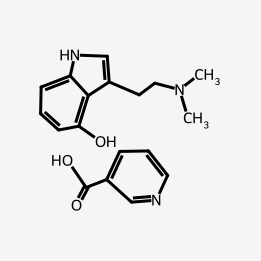 CN(C)CCc1c[nH]c2cccc(O)c12.O=C(O)c1cccnc1